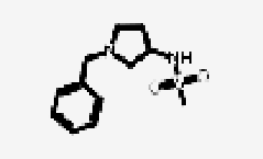 CS(=O)(=O)NC1CCN(Cc2ccccc2)C1